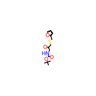 CC(C)(C)OC(=O)NCC(=O)CSCc1ccco1